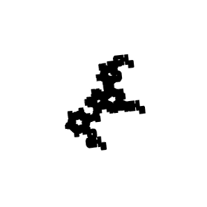 COc1ccccc1Cn1nnc2c(-c3ccc(C)o3)nc(N)nc21